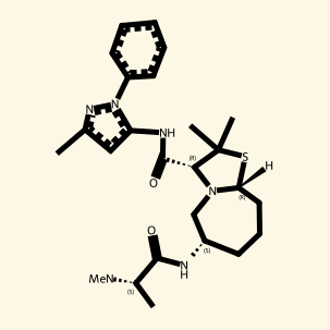 CN[C@@H](C)C(=O)N[C@H]1CCC[C@H]2SC(C)(C)[C@@H](C(=O)Nc3cc(C)nn3-c3ccccc3)N2C1